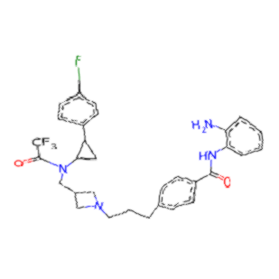 Nc1ccccc1NC(=O)c1ccc(CCCN2CC(CN(C(=O)C(F)(F)F)C3CC3c3ccc(F)cc3)C2)cc1